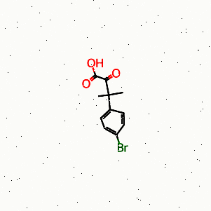 CC(C)(C(=O)C(=O)O)c1ccc(Br)cc1